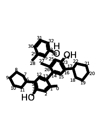 Cc1cc(O)c(C2CCCCC2)cc1-c1cc(C2CCCCC2)c(O)cc1C.Cc1cccc(O)c1